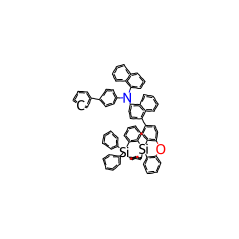 c1ccc(-c2ccc(N(c3cccc4ccccc34)c3ccc(-c4ccc5c(c4)[Si]4(c6ccccc6O5)c5ccccc5[Si](c5ccccc5)(c5ccccc5)c5ccccc54)c4ccccc34)cc2)cc1